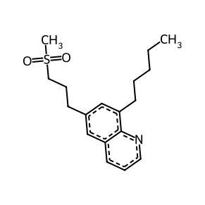 CCCCCc1cc(CCCS(C)(=O)=O)cc2cccnc12